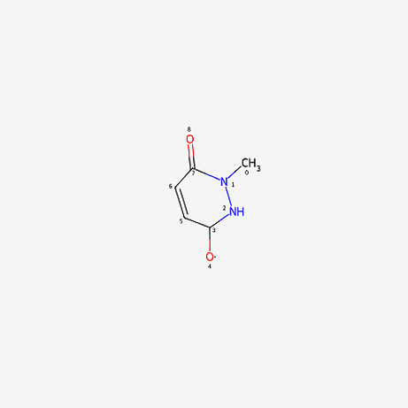 CN1NC([O])C=CC1=O